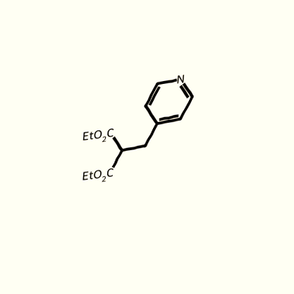 CCOC(=O)C(Cc1ccncc1)C(=O)OCC